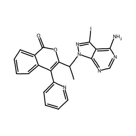 CC(c1oc(=O)c2ccccc2c1-c1ccccn1)n1nc(I)c2c(N)ncnc21